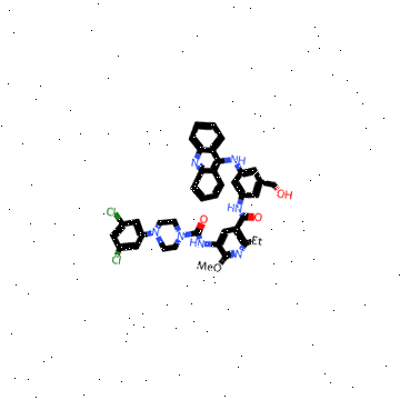 CCc1nc(OC)c(NC(=O)N2CCN(c3cc(Cl)cc(Cl)c3)CC2)cc1C(=O)Nc1cc(CO)cc(Nc2c3ccccc3nc3ccccc23)c1